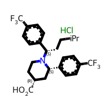 CC(C)CC[C@@H](c1ccc(C(F)(F)F)cc1)N1CC[C@@H](C(=O)O)C[C@H]1c1ccc(C(F)(F)F)cc1.Cl